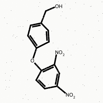 O=[N+]([O-])c1ccc(Oc2ccc(CO)cc2)c([N+](=O)[O-])c1